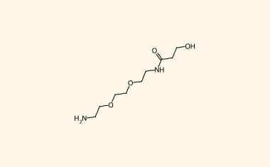 NCCOCCOCCNC(=O)CCO